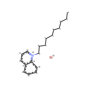 CCCCCCCCCC[n+]1cccc2ccccc21.[Br-]